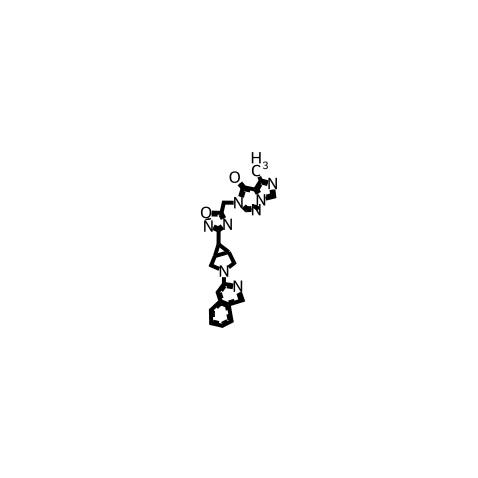 Cc1ncn2ncn(Cc3nc(C4C5CN(c6cc7ccccc7cn6)CC54)no3)c(=O)c12